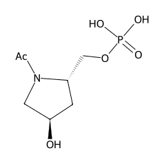 CC(=O)N1C[C@H](O)C[C@H]1COP(=O)(O)O